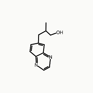 CC(CO)Cc1ccc2nccnc2c1